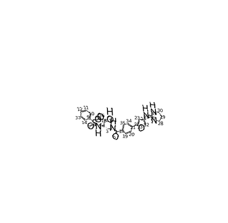 O=C(NC[C@H](NS(=O)(=O)c1ccccc1)C(=O)O)c1ccc(-c2cc(NC3=NCCCN3)co2)cc1